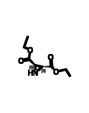 CCOC(=O)[C@@H]1N[C@H]1C(=O)OCC